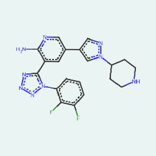 Nc1ncc(-c2cnn(C3CCNCC3)c2)cc1-c1nnnn1-c1cccc(F)c1F